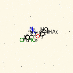 CC(=O)Nc1ccc(OC(CCc2ccc(Cl)cc2)Cn2ccnc2)cc1[N+](=O)[O-].Cl